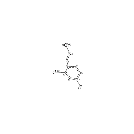 ON=Cc1ccc(F)cc1Cl